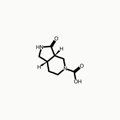 O=C1NC[C@H]2CCN(C(=O)O)C[C@@H]12